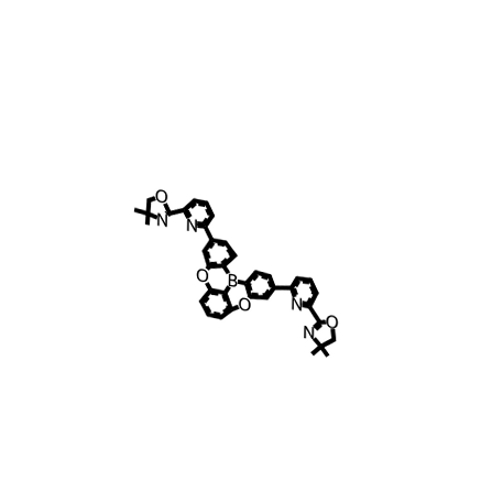 CC1(C)COC(c2cccc(-c3ccc4c(c3)Oc3cccc5c3B4c3ccc(-c4cccc(C6=NC(C)(C)CO6)n4)cc3O5)n2)=N1